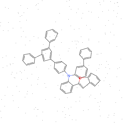 c1ccc(-c2cc(-c3ccccc3)cc(-c3ccc(N(c4cccc(-c5ccccc5)c4)c4ccccc4-c4cc5ccccc5o4)cc3)c2)cc1